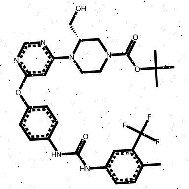 Cc1ccc(NC(=O)Nc2ccc(Oc3cc(N4CCN(C(=O)OC(C)(C)C)C[C@H]4CO)ncn3)cc2)cc1C(F)(F)F